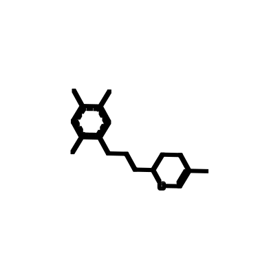 CC1=COC(CCCc2cc(C)c(C)cc2C)CC1